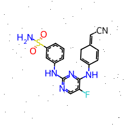 N#CC=C1C=CC(Nc2nc(Nc3cccc(S(N)(=O)=O)c3)ncc2F)=CC1